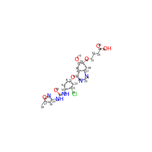 COc1cc2c(Oc3ccc(NC(=O)Nc4cc(C)on4)c(Cl)c3)ncnc2cc1OCCCC(=O)O